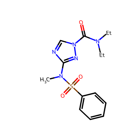 CCN(CC)C(=O)n1cnc(N(C)S(=O)(=O)c2ccccc2)n1